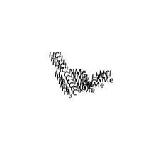 CNC.CNC.CNC.CNC.CNC.CNC.CNC.CNC.Cl.Cl.Cl.Cl.Cl.Cl.Cl.Cl